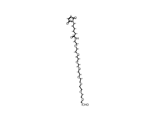 O=CCOCCOCCOCCOCCOCCOCCOCCOCCNC(=O)CCCCCN1C(=O)C=CC1=O